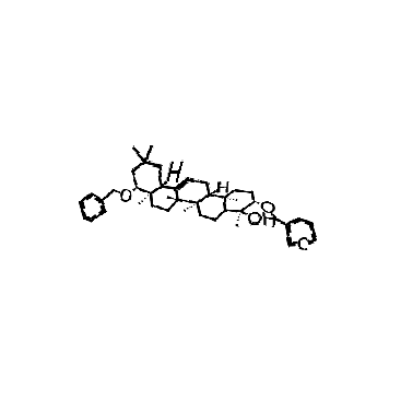 CC1(C)C[C@@H]2C3=CC[C@@H]4[C@@]5(C)CC[C@H](OCc6ccccc6)[C@@](C)(O)C5CC[C@@]4(C)[C@]3(C)CC[C@@]2(C)[C@H](OCc2ccccc2)C1